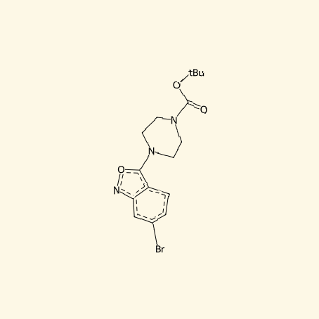 CC(C)(C)OC(=O)N1CCN(c2onc3cc(Br)ccc23)CC1